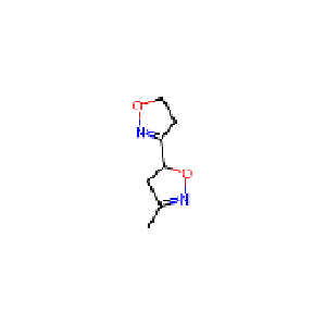 CC1=NOC(C2=NO[CH]C2)C1